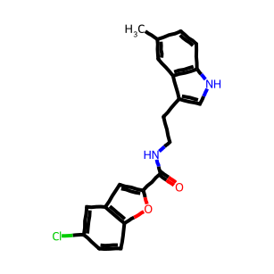 Cc1ccc2[nH]cc(CCNC(=O)c3cc4cc(Cl)ccc4o3)c2c1